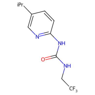 CC(C)c1ccc(NC(=O)NCC(F)(F)F)nc1